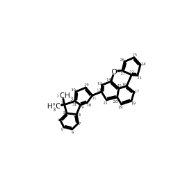 CC1(C)c2ccccc2-c2cc(-c3cc4c5c(cccc5c3)-c3ccccc3O4)ccc21